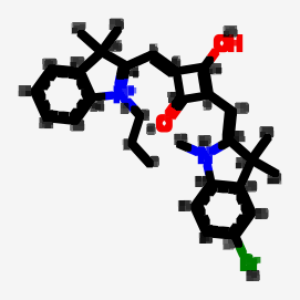 CCC[N+]1=C(C=C2C(=O)C(C=C3N(C)c4ccc(Br)cc4C3(C)C)=C2O)C(C)(C)c2ccccc21